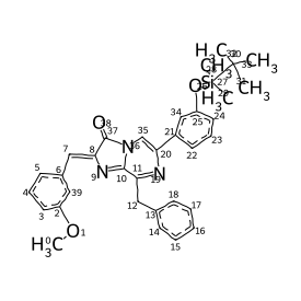 COc1cccc(/C=C2\N=C3C(Cc4ccccc4)=NC(c4cccc(O[Si](C)(C)C(C)(C)C)c4)=CN3C2=O)c1